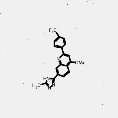 COc1cc(-c2ccc(C(F)(F)F)cc2)nc2cc(-c3nnc(C)[nH]3)ccc12